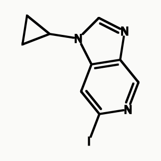 Ic1cc2c(cn1)ncn2C1CC1